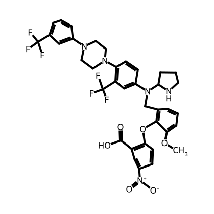 COc1cccc(CN(c2ccc(N3CCN(c4cccc(C(F)(F)F)c4)CC3)c(C(F)(F)F)c2)C2CCCN2)c1Oc1ccc([N+](=O)[O-])cc1C(=O)O